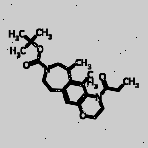 CCC(=O)N1CCOc2cc3c(c(C)c21)C(C)CN(C(=O)OC(C)(C)C)CC3